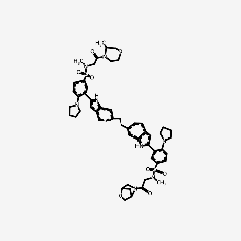 CC1COCCN1C(=O)CN(C)S(=O)(=O)c1ccc(N2CCCC2)c(-c2cc3ccc(CCc4ccc5cc(-c6cc(S(=O)(=O)N(C)CC(=O)N7CC8CC7CO8)ccc6N6CCCC6)[nH]c5c4)cc3[nH]2)c1